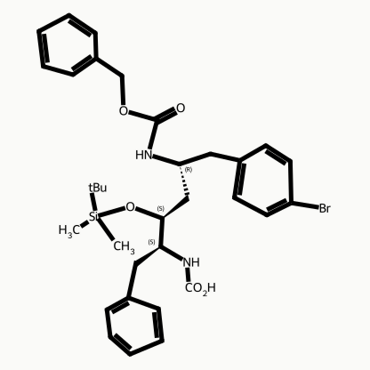 CC(C)(C)[Si](C)(C)O[C@@H](C[C@@H](Cc1ccc(Br)cc1)NC(=O)OCc1ccccc1)[C@H](Cc1ccccc1)NC(=O)O